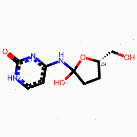 O=c1nc(NC2(O)CC[C@@H](CO)O2)cc[nH]1